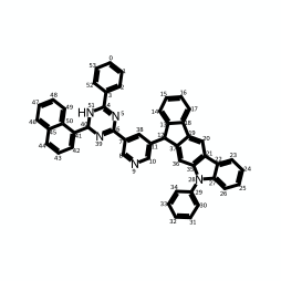 c1ccc(C2=NC(c3cncc(C4c5ccccc5-c5cc6c7ccccc7n(-c7ccccc7)c6cc54)c3)=NC(c3cccc4ccccc34)N2)cc1